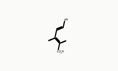 CCCC=CC(C)=C(C)C(=O)O